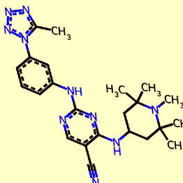 Cc1nnnn1-c1cccc(Nc2ncc(C#N)c(NC3CC(C)(C)N(C)C(C)(C)C3)n2)c1